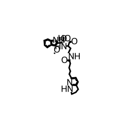 COc1c(C(=O)NC(CCNC(=O)CCCCc2ccc3c(n2)NCCC3)C(=O)O)[nH]c2ccccc12